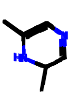 CC1=CN=CC(C)N1